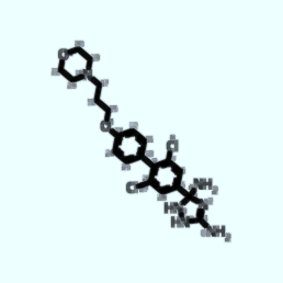 NC1=NC(N)(c2cc(Cl)c(-c3ccc(OCCCN4CCOCC4)cc3)c(Cl)c2)NN1